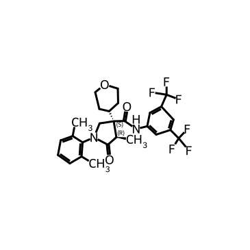 Cc1cccc(C)c1N1C[C@](C(=O)Nc2cc(C(F)(F)F)cc(C(F)(F)F)c2)(C2CCOCC2)[C@@H](C)C1=O